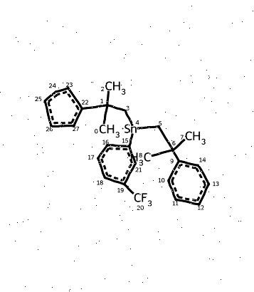 CC(C)([CH2][Sn]([CH2]C(C)(C)c1ccccc1)[c]1cccc(C(F)(F)F)c1)c1ccccc1